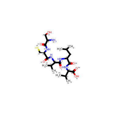 CC(C)CC(NC(=O)C(NC(=O)[C@@H](CS)NC(=O)C(N)CO)C(C)C)C(=O)NC(C(=O)O)C(C)C